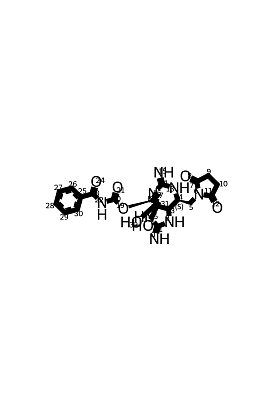 N=C1NC2[C@H](CN3C(=O)CCC3=O)NC(=N)N3C[C@H](OC(=O)NC(=O)c4ccccc4)C(O)(O)C23N1